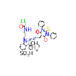 CC1(C)/C(=C\C=C\C=C2C(=O)N(c3ccccc3)C(=S)N(c3ccccc3)C2=O)N(CCCNC(=O)CCl)c2ccc(S(=O)(=O)O)cc21